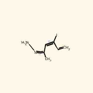 C=C/C(I)=C\C(C)=N/N